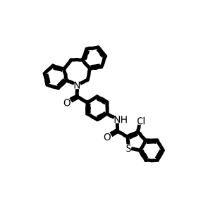 O=C(Nc1ccc(C(=O)N2Cc3ccccc3Cc3ccccc32)cc1)c1sc2ccccc2c1Cl